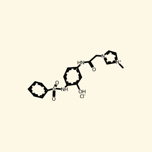 C[n+]1ccn(CC(=O)Nc2ccc(NS(=O)(=O)c3ccccc3)c(O)c2)c1.[Cl-]